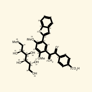 C=C(C(=O)c1ccc(C(=O)O)cc1)c1cc(-c2cc3ccccc3s2)c(OC)cc1OC.CNC[C@H](O)[C@@H](O)[C@H](O)[C@H](O)CO